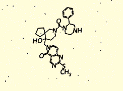 CSc1ncc2c(=O)n(CC3(O)CCN(C(=O)N4CCNCC4c4ccccc4)CC34CCCC4)ccc2n1